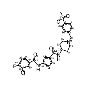 CS(=O)(=O)c1ccc(CN2CCC(NC(=O)c3csc(NC(=O)c4ccc(F)c(Cl)c4)n3)CC2)cc1